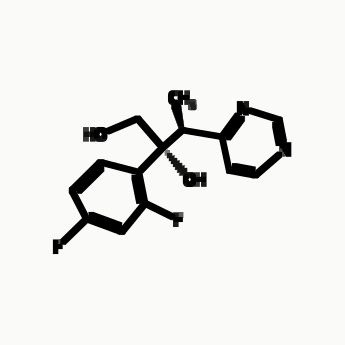 C[C@@H](c1ccncn1)[C@](O)(CO)c1ccc(F)cc1F